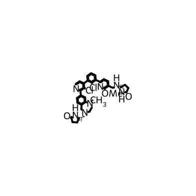 COc1nc(-c2cccc(-c3ccnc(-c4ccc5c(c4)N(C)CCN(C[C@@H]4CCC(=O)N4)C5)c3Cl)c2Cl)ccc1CN[C@@H]1CCC(=O)N1